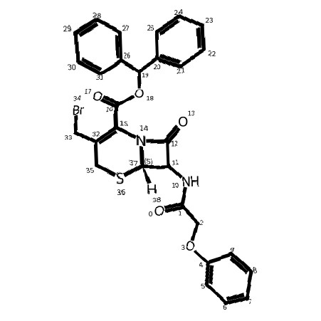 O=C(COc1ccccc1)NC1C(=O)N2C(C(=O)OC(c3ccccc3)c3ccccc3)=C(CBr)CS[C@@H]12